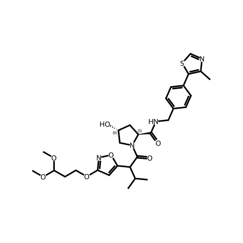 COC(CCOc1cc(C(C(=O)N2C[C@H](O)C[C@H]2C(=O)NCc2ccc(-c3scnc3C)cc2)C(C)C)on1)OC